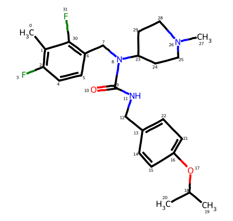 Cc1c(F)ccc(CN(C(=O)NCc2ccc(OC(C)C)cc2)C2CCN(C)CC2)c1F